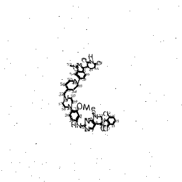 COc1cc(Nc2ncc3c(n2)N(C)CN(c2c(Cl)cccc2Cl)C3=O)ccc1N1CCN(CC2CCN(c3ccc4c(C5CCC(=O)NC5=O)nn(C)c4c3)CC2)CC1